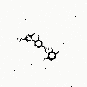 Cc1nc(C(F)(F)F)cn1-c1ccc(NCc2c(F)ccc(F)c2F)cc1F